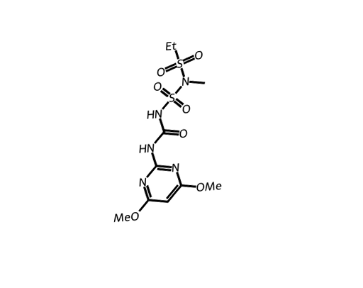 CCS(=O)(=O)N(C)S(=O)(=O)NC(=O)Nc1nc(OC)cc(OC)n1